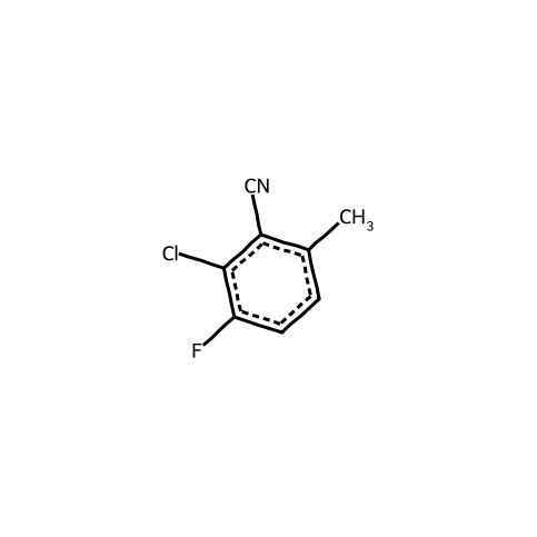 Cc1ccc(F)c(Cl)c1C#N